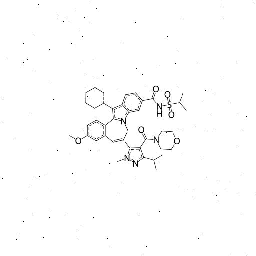 COc1ccc2c(c1)C=C(c1c(C(=O)N3CCOCC3)c(C(C)C)nn1C)Cn1c-2c(C2CCCCC2)c2ccc(C(=O)NS(=O)(=O)C(C)C)cc21